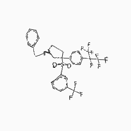 O=S(=O)(c1cccc(C(F)(F)F)c1)C1(c2ccc(C(F)(C(F)(F)F)C(F)(F)F)cc2)CCN(Cc2ccccc2)C1